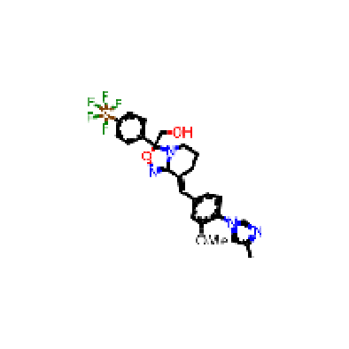 COc1cc(/C=C2\CCCN3C2=NOC3(CO)c2ccc(S(F)(F)(F)(F)F)cc2)ccc1-n1cnc(C)c1